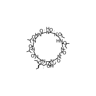 C/C=C/C[C@@H](C)[C@@H](O)[C@H]1C(=O)N[C@@H](CC)C(=O)N(C)CC(=O)N(C)[C@@H](C(C)CC)C(=O)N[C@@H](C(C)C)C(=O)N(C)[C@@H](C)C(=O)N[C@@H](C)C(=O)N[C@H](C)C(=O)N(C)[C@@H](CC(C)C)C(=O)N(C)[C@@H](CC(C)C)C(=O)N(C)[C@@H](C(C)C)C(=O)N1C